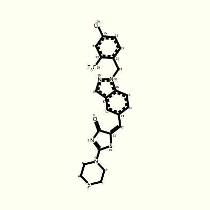 O=C1N=C(N2CCSCC2)SC1=Cc1ccc2c(cnn2Cc2ccc(Cl)cc2C(F)(F)F)c1